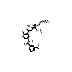 CNCCN/C(N)=C(C#N)/C=C(\C)c1cc(NC(=O)c2cccc(C(F)F)c2)cnc1C